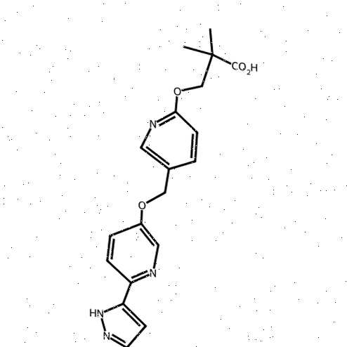 CC(C)(COc1ccc(COc2ccc(-c3ccn[nH]3)nc2)cn1)C(=O)O